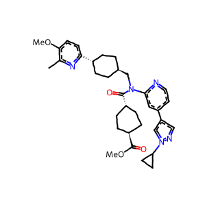 COc1ccc([C@H]2CC[C@H](CN(c3cc(-c4cnn(C5CC5)c4)ccn3)C(=O)[C@H]3CC[C@H](C(=O)OC)CC3)CC2)nc1C